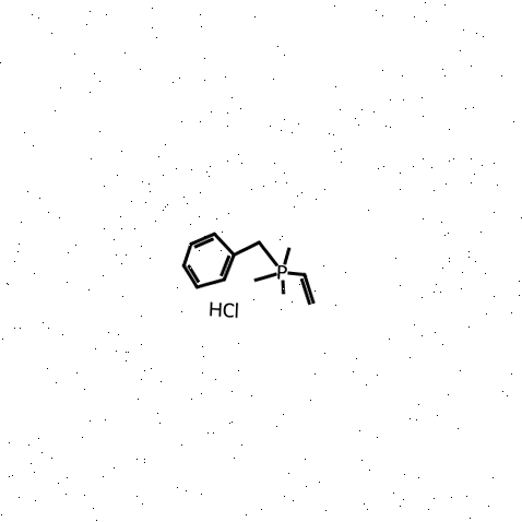 C=CP(C)(C)(C)Cc1ccccc1.Cl